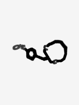 O=Cc1ccc(C=C2CCCCCCCCCCC2)cc1